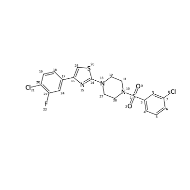 O=S(=O)(c1cccc(Cl)c1)N1CCN(c2nc(-c3ccc(Cl)c(F)c3)cs2)CC1